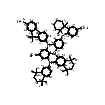 CC(C)c1cc2c3c(c1)N(c1ccc4c(c1)C(C)(C)CCC4(C)C)c1cc4c(cc1B3c1ccc(N3c5ccc(C(C)(C)C)cc5C5(C)CCCCC35C)cc1N2c1ccc2c(c1)C(C)(C)c1cc(C(C)(C)C)ccc1-2)C(C)(C)CCC4(C)C